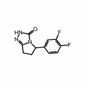 O=c1[nH]nc2n1C(c1ccc(F)c(F)c1)CC2